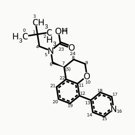 CC(C)(C)CN(C[C@H]1CCOc2c(-c3ccncc3)cccc21)C(=O)O